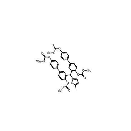 CC(C)(C)OC(=O)Oc1ccc(-c2ccc(OC(=O)OC(C)(C)C)c(C(c3ccc(I)o3)c3cc(-c4ccc(OC(=O)OC(C)(C)C)cc4)ccc3OC(=O)OC(C)(C)C)c2)cc1